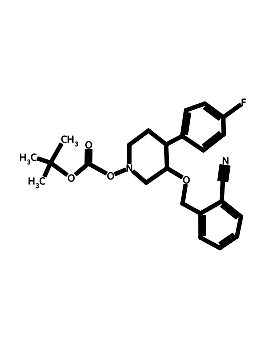 CC(C)(C)OC(=O)ON1CCC(c2ccc(F)cc2)C(OCc2ccccc2C#N)C1